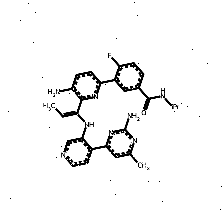 CC=C(Nc1cnccc1-c1cc(C)nc(N)n1)c1nc(-c2cc(C(=O)NC(C)C)ccc2F)ccc1N